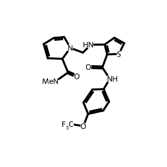 CNC(=O)C1C=CC=CN1CNc1ccsc1C(=O)Nc1ccc(OC(F)(F)F)cc1